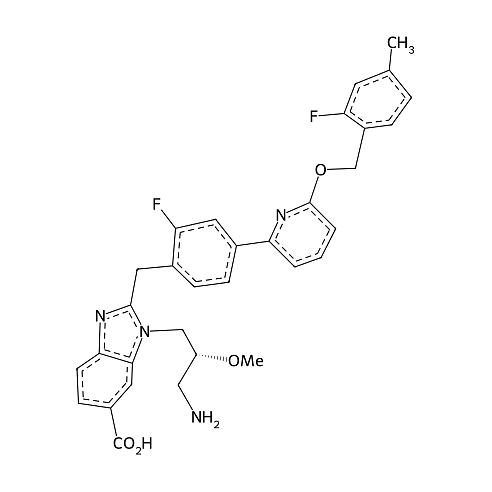 CO[C@H](CN)Cn1c(Cc2ccc(-c3cccc(OCc4ccc(C)cc4F)n3)cc2F)nc2ccc(C(=O)O)cc21